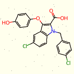 O=C(O)c1c(Oc2ccc(O)cc2)c2cc(Cl)ccc2n1Cc1ccc(Cl)cc1